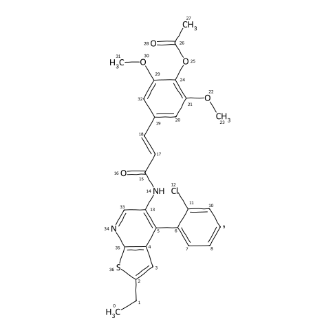 CCc1cc2c(-c3ccccc3Cl)c(NC(=O)C=Cc3cc(OC)c(OC(C)=O)c(OC)c3)cnc2s1